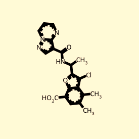 Cc1cc(C(=O)O)c2oc(C(C)NC(=O)c3cnn4cccnc34)c(Cl)c2c1C